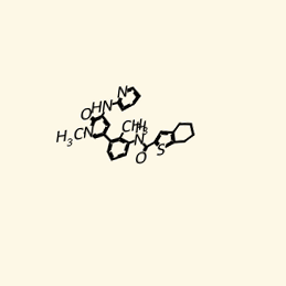 Cc1c(NC(=O)c2cc3c(s2)CCCC3)cccc1-c1cc(Nc2ccccn2)c(=O)n(C)c1